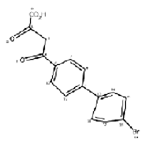 O=C(O)C(=O)CC(=O)c1ccc(-c2ccc(Br)cc2)cc1